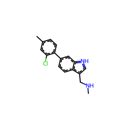 CNCc1c[nH]c2cc(-c3ccc(C)cc3Cl)ccc12